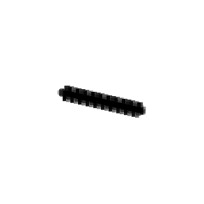 [O]C(F)(F)C(F)(F)C(F)(F)C(F)(F)C(F)(F)C(F)(F)C(F)(F)C(F)(F)C(F)(F)C(F)(F)C(F)(F)C(F)(F)C(F)(F)C(F)(F)C(F)(F)C(F)(F)C(F)(F)C(F)(F)C(F)(F)C(F)(F)F